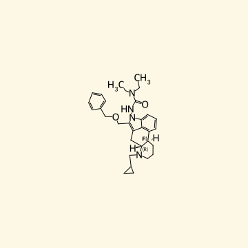 CCN(CC)C(=O)Nn1c(COCc2ccccc2)c2c3c(cccc31)[C@H]1CCCN(CC3CC3)[C@@H]1C2